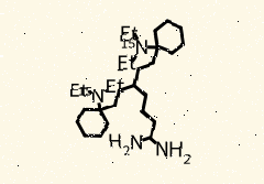 CC[15N](CC)C1(CCC(CCCC(N)N)CCC2([15N](CC)CC)CCCCC2)CCCCC1